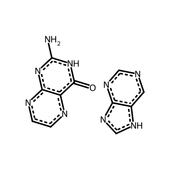 Nc1nc2nccnc2c(=O)[nH]1.c1ncc2[nH]cnc2n1